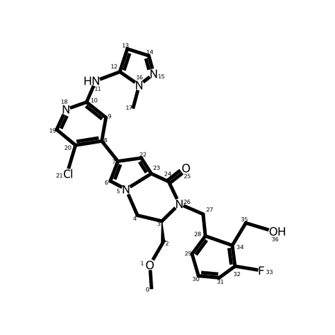 COC[C@H]1Cn2cc(-c3cc(Nc4ccnn4C)ncc3Cl)cc2C(=O)N1Cc1cccc(F)c1CO